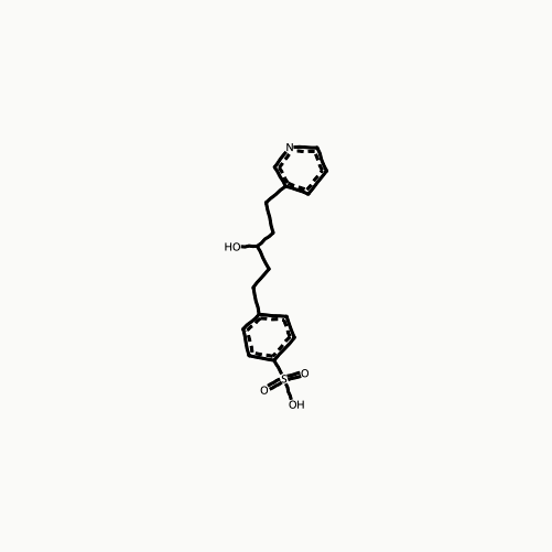 O=S(=O)(O)c1ccc(CCC(O)CCc2cccnc2)cc1